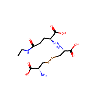 CCNC(=O)CC[C@H](N)C(=O)O.N[C@@H](CSSC[C@H](N)C(=O)O)C(=O)O